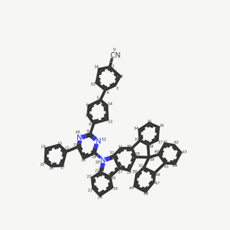 N#Cc1ccc(-c2ccc(-c3nc(-c4ccccc4)cc(-n4c5ccccc5c5cc6c(cc54)-c4ccccc4C64c5ccccc5-c5ccccc54)n3)cc2)cc1